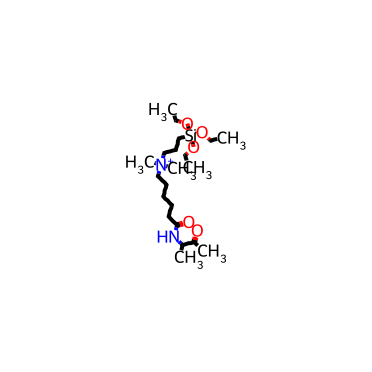 CCO[Si](CCC[N+](C)(C)CCCCCC(=O)NC(C)C(C)=O)(OCC)OCC